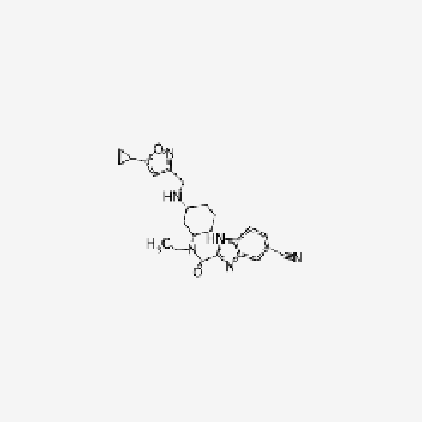 CCN(C(=O)c1nc2cc(C#N)ccc2[nH]1)[C@H]1CCC[C@@H](NCc2cc(C3CC3)on2)C1